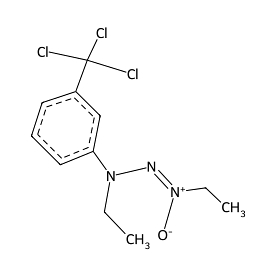 CCN(N=[N+]([O-])CC)c1cccc(C(Cl)(Cl)Cl)c1